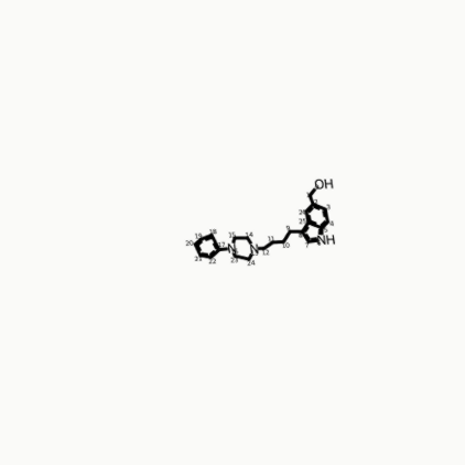 OCc1ccc2[nH]cc(CCCCN3CCN(c4ccccc4)CC3)c2c1